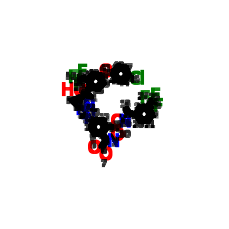 CO/N=C(/C(=O)OC)c1ccccc1CO/N=C(\C)c1cccc(C(F)(F)F)c1.OC(Cn1cncn1)(c1ccc(Oc2ccc(Cl)cc2)cc1C(F)(F)F)C1CC1